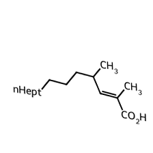 CCCCCCCCCCC(C)C=C(C)C(=O)O